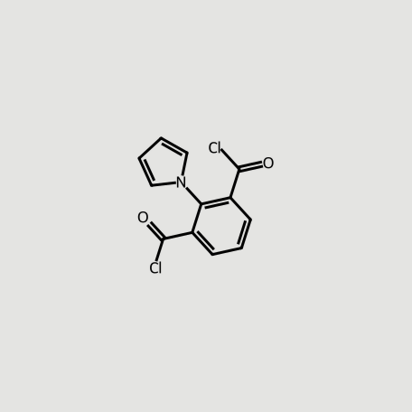 O=C(Cl)c1cccc(C(=O)Cl)c1-n1cccc1